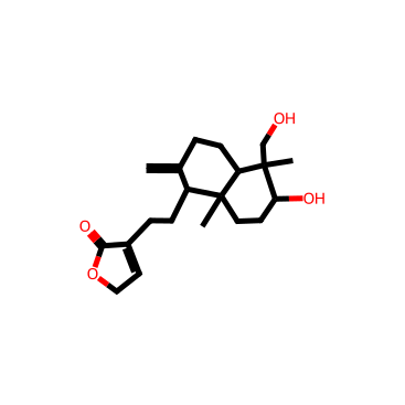 C=C1CCC2C(C)(CO)C(O)CCC2(C)C1CCC1=CCOC1=O